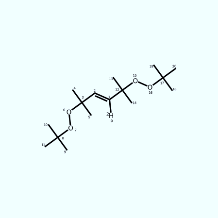 [2H]C(=CC(C)(C)OOC(C)(C)C)C(C)(C)OOC(C)(C)C